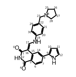 O=C1NC(=O)c2ccc(-c3ccc[nH]3)cc2/C1=C\Nc1ccc(CN2CCCC2)cc1